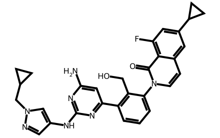 Nc1cc(-c2cccc(-n3ccc4cc(C5CC5)cc(F)c4c3=O)c2CO)nc(Nc2cnn(CC3CC3)c2)n1